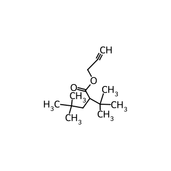 C#CCOC(=O)C(CC(C)(C)C)C(C)(C)C